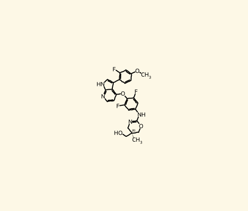 COc1ccc(-c2c[nH]c3nccc(Oc4c(F)cc(NC5=NC[C@](C)(CO)CO5)cc4F)c23)c(F)c1